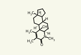 CC1=C(C)[C@]2(C)[C@H]3CC[C@]4(C)CCC[C@H]4[C@@H]3CC[C@H]2N(C)C1=O